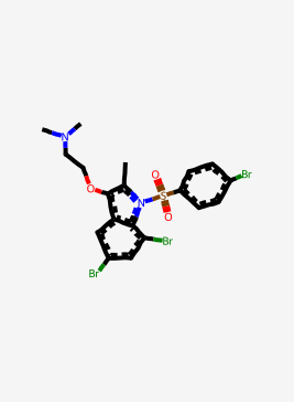 Cc1c(OCCN(C)C)c2cc(Br)cc(Br)c2n1S(=O)(=O)c1ccc(Br)cc1